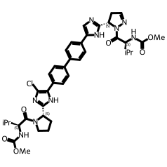 COC(=O)N[C@H](C(=O)N1CCC[C@H]1c1nc(Cl)c(-c2ccc(-c3ccc(-c4cnc([C@@H]5CC=NN5C(=O)[C@@H](NC(=O)OC)C(C)C)[nH]4)cc3)cc2)[nH]1)C(C)C